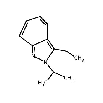 CCc1c2ccccc2nn1C(C)C